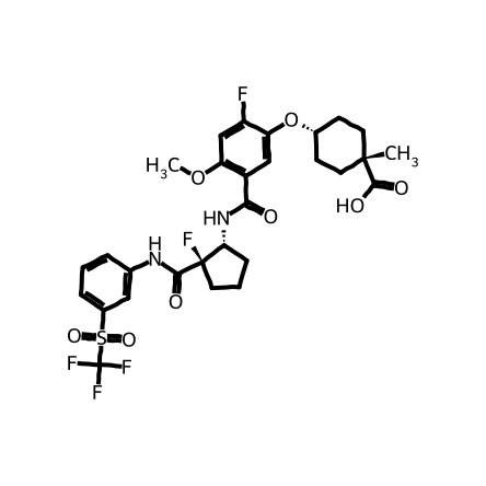 COc1cc(F)c(O[C@H]2CC[C@@](C)(C(=O)O)CC2)cc1C(=O)N[C@@H]1CCC[C@]1(F)C(=O)Nc1cccc(S(=O)(=O)C(F)(F)F)c1